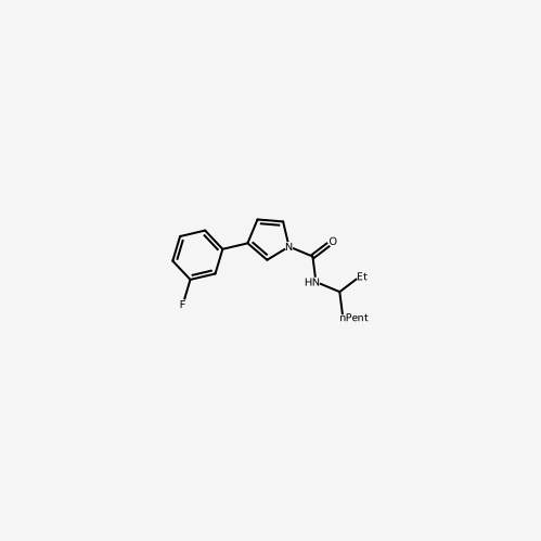 CCCCCC(CC)NC(=O)n1ccc(-c2cccc(F)c2)c1